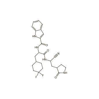 N#CC(CC1CCNC1=O)NC(=O)C(CC1CCC(F)(F)CC1)NC(=O)c1cc2ccccc2[nH]1